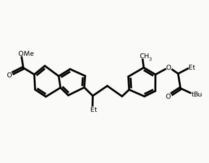 CCC(Oc1ccc(CCC(CC)c2ccc3cc(C(=O)OC)ccc3c2)cc1C)C(=O)C(C)(C)C